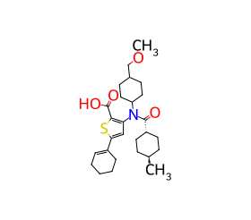 COCC1CCC(N(c2cc(C3=CCCCC3)sc2C(=O)O)C(=O)[C@H]2CC[C@H](C)CC2)CC1